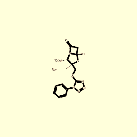 C[C@@]1(CSc2nnnn2-c2ccccc2)S[C@H]2CC(=O)N2[C@H]1C(=O)[O-].[Na+]